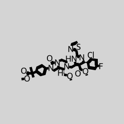 COC[C@@H]1[C@H]2CN(c3ccc(C(C)(C)C(=O)OC)cc3)C(=O)N2CCN1CC1=C(C(=O)OC)[C@H](c2ccc(F)cc2Cl)N=C(c2nccs2)N1